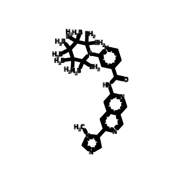 BC1(B)N(c2cc(C(=O)Nc3cc4cc(-c5cncn5C)ncc4cn3)ccn2)C(B)(B)C(B)(B)C(B)(B)C1(B)B